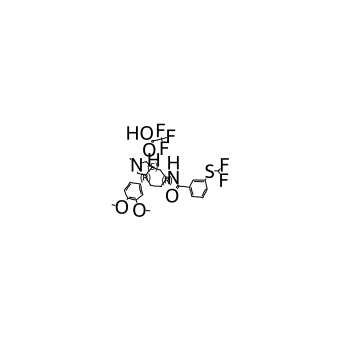 COc1ccc([C@@]23CC[C@@H](NC(=O)c4cccc(SC(F)F)c4)C[C@@H]2CN(C)C3)cc1OC.O=C(O)C(F)(F)F